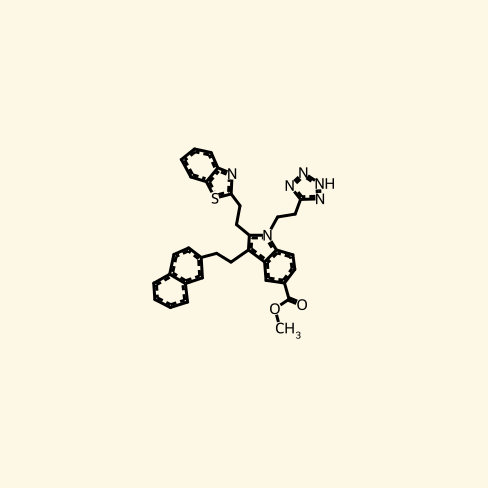 COC(=O)c1ccc2c(c1)c(CCc1ccc3ccccc3c1)c(CCc1nc3ccccc3s1)n2CCc1nn[nH]n1